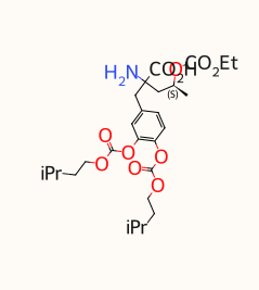 CCOC(=O)O[C@@H](C)CC(N)(Cc1ccc(OC(=O)OCCC(C)C)c(OC(=O)OCCC(C)C)c1)C(=O)O